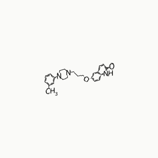 Cc1cccc(N2CCN(CCCOc3ccc4[nH]c(=O)ccc4c3)CC2)c1